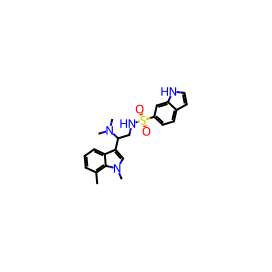 Cc1cccc2c(C(CNS(=O)(=O)c3ccc4cc[nH]c4c3)N(C)C)cn(C)c12